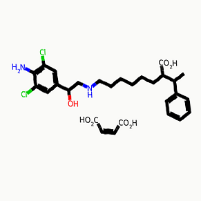 CC(c1ccccc1)C(CCCCCCNCC(O)c1cc(Cl)c(N)c(Cl)c1)C(=O)O.O=C(O)/C=C\C(=O)O